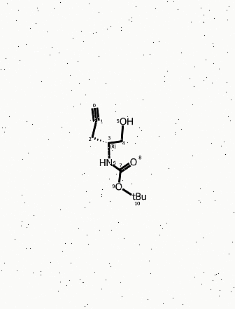 C#CC[C@H](CO)NC(=O)OC(C)(C)C